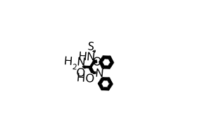 NC(=O)/C(C(=O)NC=S)=C(\O)N(c1ccccc1)c1ccccc1